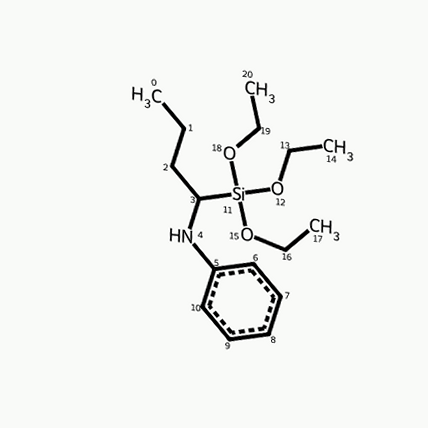 CCCC(Nc1ccccc1)[Si](OCC)(OCC)OCC